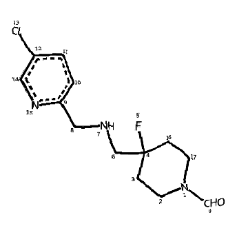 O=CN1CCC(F)(CNCc2ccc(Cl)cn2)CC1